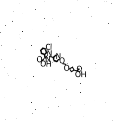 O=C(O)c1nc(-c2ccc(OCCOC3CC(C(=O)O)C3)nc2)nc2c(Cl)cccc12